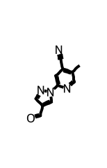 Cc1cnc(-n2cc(C=O)cn2)cc1C#N